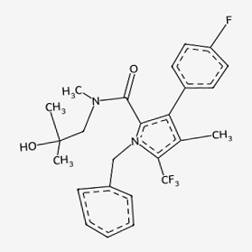 Cc1c(-c2ccc(F)cc2)c(C(=O)N(C)CC(C)(C)O)n(Cc2ccccc2)c1C(F)(F)F